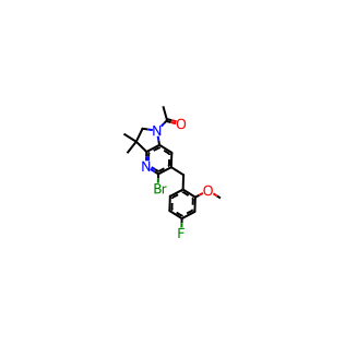 COc1cc(F)ccc1Cc1cc2c(nc1Br)C(C)(C)CN2C(C)=O